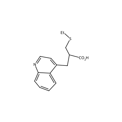 CCSCC(Cc1ccnc2ccccc12)C(=O)O